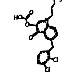 CCCCn1cc(OC(=O)O)c(=O)c2cc(Cc3cccc(Cl)c3Cl)ccc21